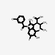 CCC(C)C(C(=O)O)c1c(C)n(C(=O)c2cccc(Cl)c2)c2cc(F)c(O)c(F)c12